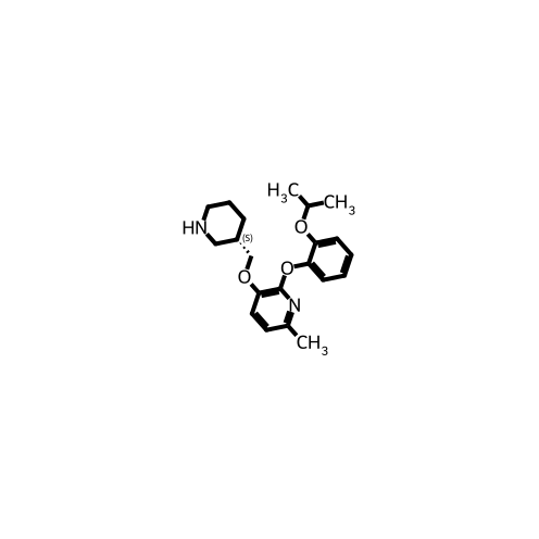 Cc1ccc(OC[C@H]2CCCNC2)c(Oc2ccccc2OC(C)C)n1